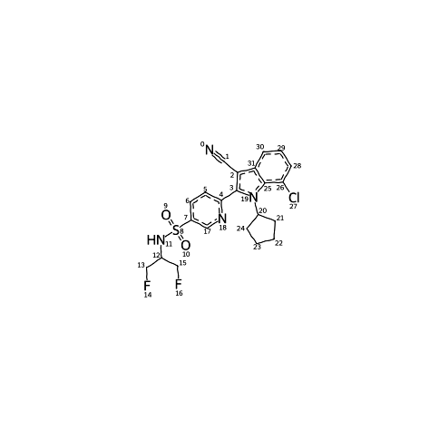 N#Cc1c(-c2ccc(S(=O)(=O)NC(CF)CF)cn2)n(C2CCCC2)c2c(Cl)cccc12